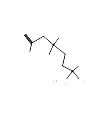 C=C(C)CC(C)(C)CCC(C)(C)NC